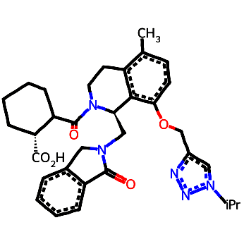 Cc1ccc(OCc2cn(C(C)C)nn2)c2c1CCN(C(=O)C1CCCC[C@H]1C(=O)O)[C@@H]2CN1Cc2ccccc2C1=O